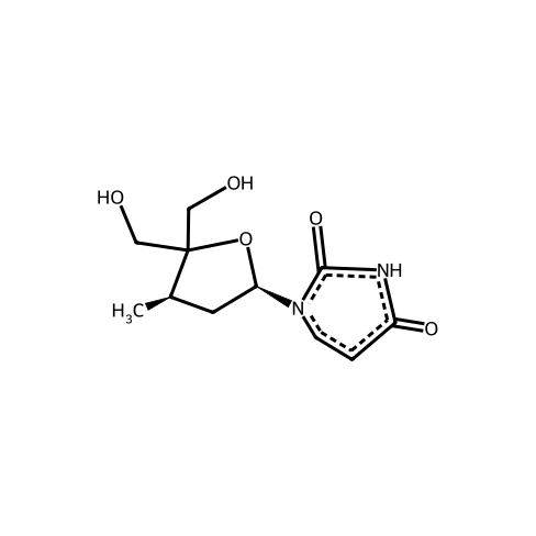 C[C@@H]1C[C@H](n2ccc(=O)[nH]c2=O)OC1(CO)CO